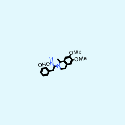 COc1cc2c(cc1OC)C(C)N(C(Cc1ccccc1)NC=O)CC2